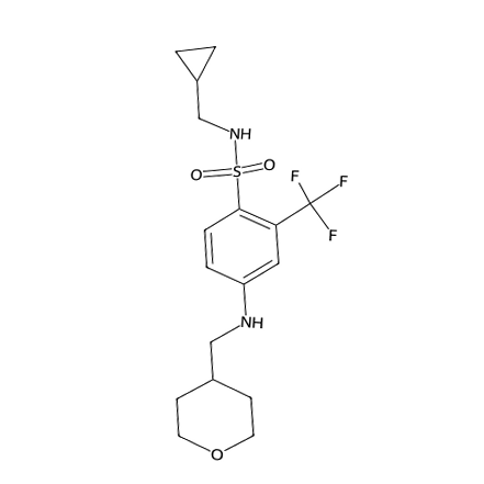 O=S(=O)(NCC1CC1)c1ccc(NCC2CCOCC2)cc1C(F)(F)F